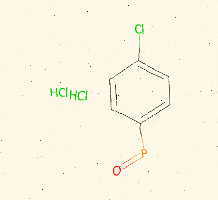 Cl.Cl.O=Pc1ccc(Cl)cc1